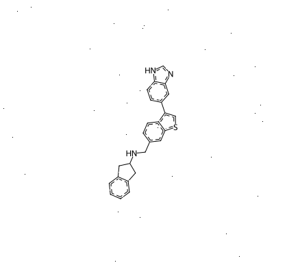 c1ccc2c(c1)CC(NCc1ccc3c(-c4ccc5[nH]cnc5c4)csc3c1)C2